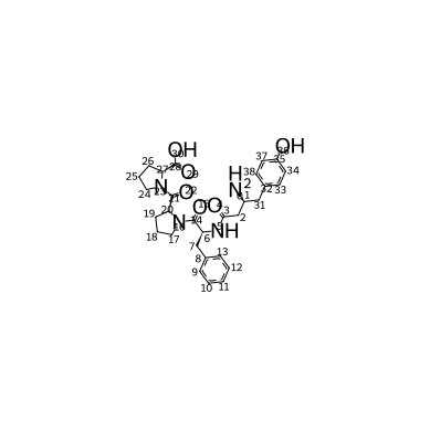 N[C@H](CC(=O)N[C@@H](Cc1ccccc1)C(=O)N1CCC[C@H]1C(=O)N1CCC[C@H]1C(=O)O)Cc1ccc(O)cc1